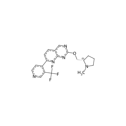 CN1CCC[C@H]1COc1ncc2ccc(-c3ccncc3C(F)(F)F)nc2n1